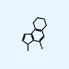 CC1C=Cc2c3c(cc(Br)c21)CCCC3